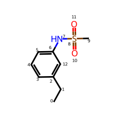 CCc1cccc(NS(C)(=O)=O)c1